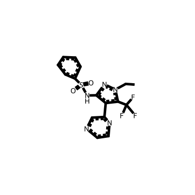 CCn1nc(NS(=O)(=O)c2ccccc2)c(-c2cnccn2)c1C(F)(F)F